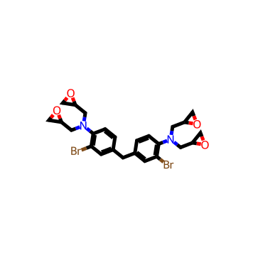 Brc1cc(Cc2ccc(N(CC3CO3)CC3CO3)c(Br)c2)ccc1N(CC1CO1)CC1CO1